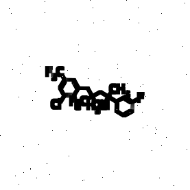 CC(C)(CC(O)(Cc1cc(C(F)(F)F)cc(Cl)c1F)C(F)(F)F)c1cccc(F)c1